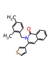 Cc1ccc(Cn2c(-c3ccsc3)cc3ccccc3c2=O)c(C)c1